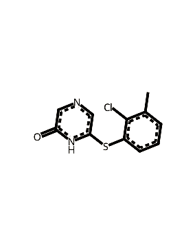 Cc1cccc(Sc2cncc(=O)[nH]2)c1Cl